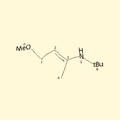 COC/C=C(\C)NC(C)(C)C